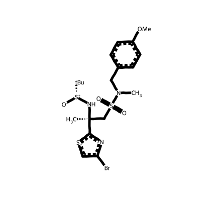 COc1ccc(CN(C)S(=O)(=O)C[C@](C)(N[S@+]([O-])C(C)(C)C)c2nc(Br)cs2)cc1